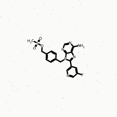 CS(=O)(=O)OCc1ccc(Cn2c(-c3cncc(F)c3)nc3c(N)ncnc32)cc1